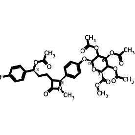 COC(=O)[C@H]1O[C@@H](Oc2ccc([C@@H]3C(CC[C@H](OC(C)=O)c4ccc(F)cc4)C(=O)N3C)cc2)C(OC(C)=O)[C@@H](OC(C)=O)C1OC(C)=O